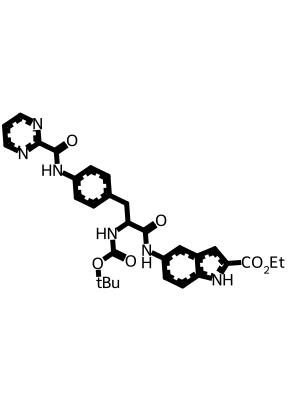 CCOC(=O)c1cc2cc(NC(=O)C(Cc3ccc(NC(=O)c4ncccn4)cc3)NC(=O)OC(C)(C)C)ccc2[nH]1